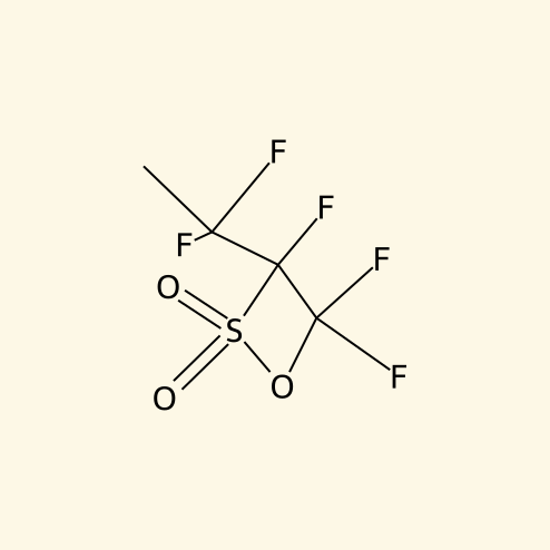 CC(F)(F)C1(F)C(F)(F)OS1(=O)=O